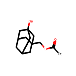 CCC(=O)OCC12CC3CC(CC(O)(C3)C1)C2